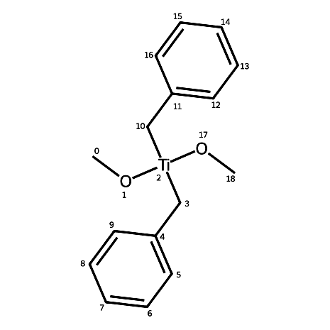 C[O][Ti]([CH2]c1ccccc1)([CH2]c1ccccc1)[O]C